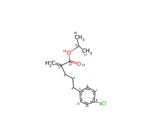 C=C(CCCc1ccc(Cl)cc1)C(=O)OC(C)C